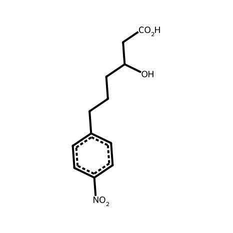 O=C(O)CC(O)CCCc1ccc([N+](=O)[O-])cc1